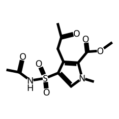 COC(=O)c1c(CC(C)=O)c(S(=O)(=O)NC(C)=O)cn1C